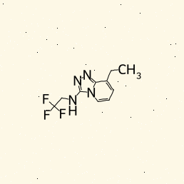 CCc1cccn2c(NCC(F)(F)F)nnc12